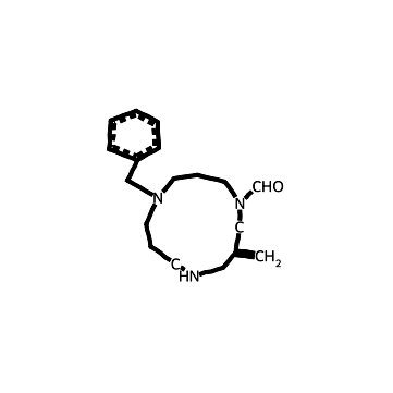 C=C1CNCCCN(Cc2ccccc2)CCCN(C=O)C1